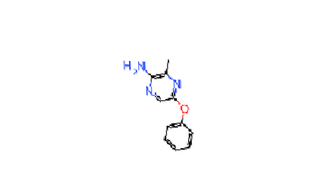 Cc1nc(Oc2ccccc2)cnc1N